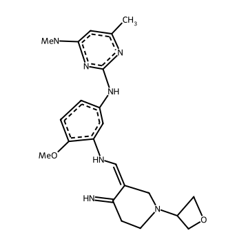 CNc1cc(C)nc(Nc2ccc(OC)c(N/C=C3/CN(C4COC4)CCC3=N)c2)n1